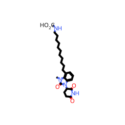 Cn1c(=O)n(C2CCC(=O)NC2=O)c2cccc(CCCCCCCCCCCNC(=O)O)c21